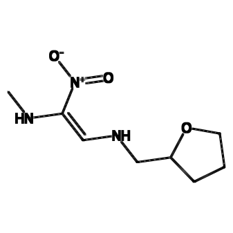 CNC(=CNCC1CCCO1)[N+](=O)[O-]